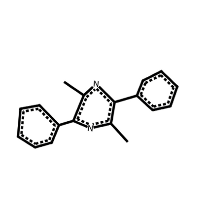 Cc1nc(-c2ccccc2)c(C)nc1-c1ccccc1